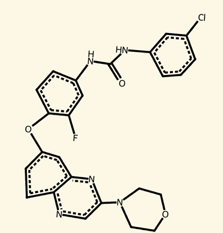 O=C(Nc1cccc(Cl)c1)Nc1ccc(Oc2ccc3ncc(N4CCOCC4)nc3c2)c(F)c1